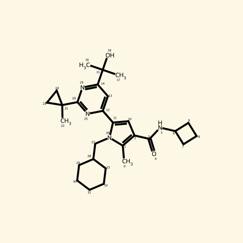 Cc1c(C(=O)NC2CCC2)cc(-c2cc(C(C)(C)O)nc(C3(C)CC3)n2)n1CC1CCCCC1